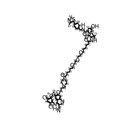 COc1cc(Nc2c(C#N)cnc3cc(OCCCN4CCN(C(=O)CCCCCOCCOCCOCCCCCC(=O)NC(C(=O)N5C[C@H](O)C[C@H]5C(=O)NCc5ccc(-c6scnc6C)cc5)C(C)(C)C)CC4)c(OC)cc23)c(Cl)cc1Cl